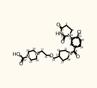 O=C1CCN(c2cc(C(=O)N3CCC(COCCN4CCN(C(=O)O)CC4)CC3)ccc2Cl)C(=O)N1